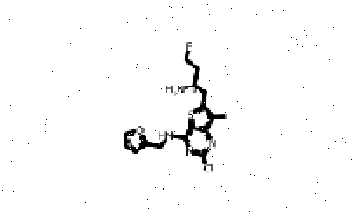 Cc1c(C[C@@H](N)CCF)sc2c(NCc3ccco3)nc(Cl)nc12